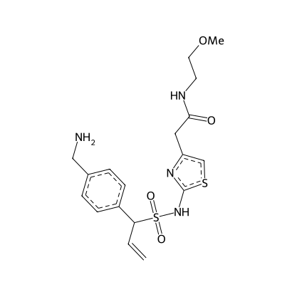 C=CC(c1ccc(CN)cc1)S(=O)(=O)Nc1nc(CC(=O)NCCOC)cs1